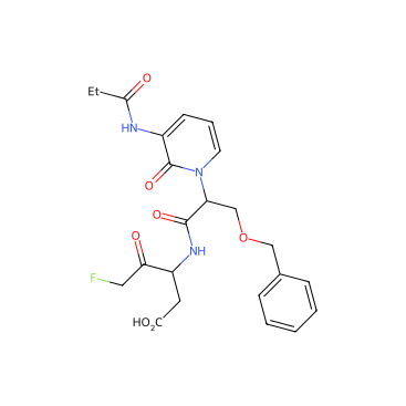 CCC(=O)Nc1cccn(C(COCc2ccccc2)C(=O)NC(CC(=O)O)C(=O)CF)c1=O